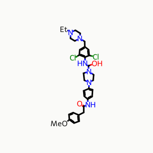 CCN1CCN(Cc2cc(Cl)c(NC(O)N3CCN(c4ccc(NC(=O)Cc5ccc(OC)cc5)cc4)CC3)c(Cl)c2)CC1